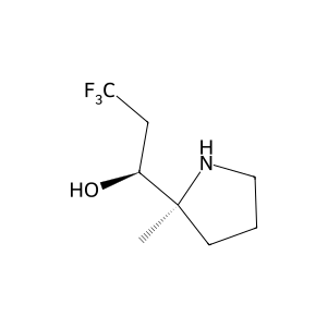 C[C@@]1([C@@H](O)CC(F)(F)F)CCCN1